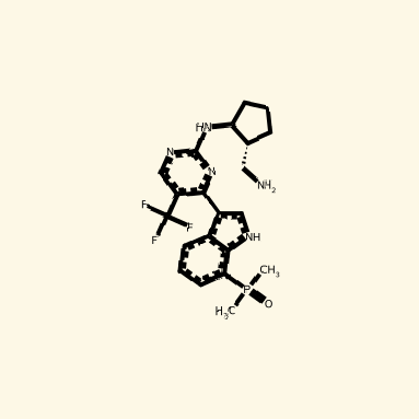 CP(C)(=O)c1cccc2c(-c3nc(NC4CCC[C@@H]4CN)ncc3C(F)(F)F)c[nH]c12